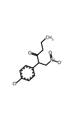 CCCC(=O)C(C[N+](=O)[O-])c1ccc(Cl)cc1